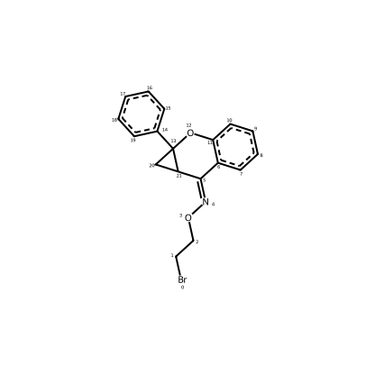 BrCCON=C1c2ccccc2OC2(c3ccccc3)CC12